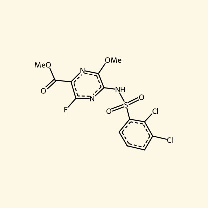 COC(=O)c1nc(OC)c(NS(=O)(=O)c2cccc(Cl)c2Cl)nc1F